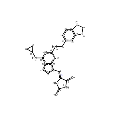 O=C1NC(=O)/C(=C/c2cnn3c(NC4CC4)nc(NCc4ccc5c(c4)OCO5)nc23)N1